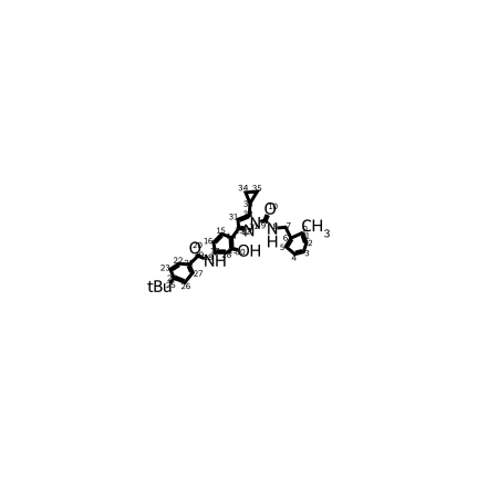 Cc1ccccc1CNC(=O)n1nc(-c2ccc(NC(=O)c3ccc(C(C)(C)C)cc3)cc2O)cc1C1CC1